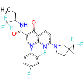 CC[C@@H](NC(=O)c1cn(-c2ccc(F)cc2F)c2nc(N3CCC4(C3)CC4(F)F)ccc2c1=O)C(F)(F)F